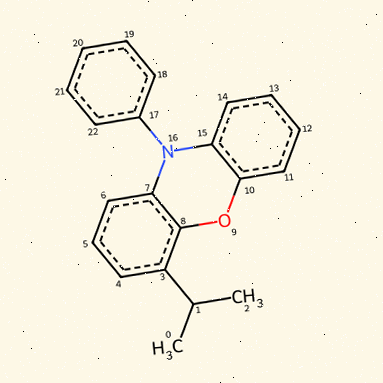 CC(C)c1cccc2c1Oc1ccccc1N2c1ccccc1